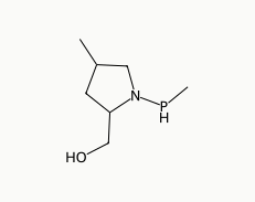 CPN1CC(C)CC1CO